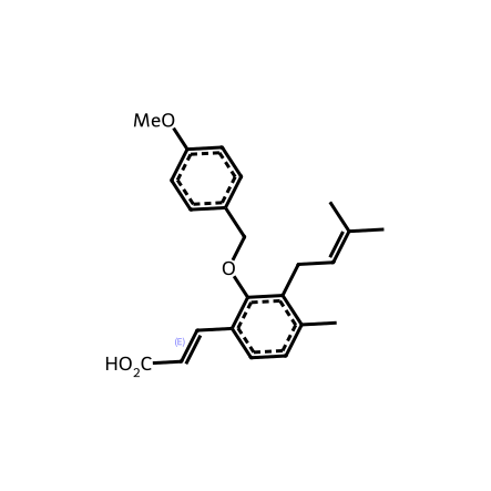 COc1ccc(COc2c(/C=C/C(=O)O)ccc(C)c2CC=C(C)C)cc1